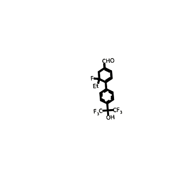 CCC1(F)CC(C=O)=CC=C1c1ccc(C(O)(C(F)(F)F)C(F)(F)F)cc1